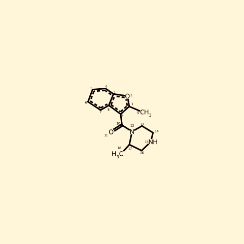 Cc1oc2ccccc2c1C(=O)N1CCNCC1C